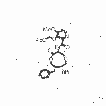 CCC[C@H]1COC[C@H](NC(=O)c2nccc(OC)c2OCOC(C)=O)C(=O)O[C@@H](C)[C@@H]1Cc1ccccc1